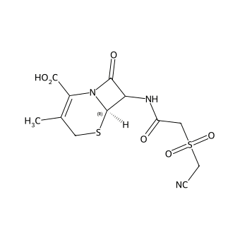 CC1=C(C(=O)O)N2C(=O)C(NC(=O)CS(=O)(=O)CC#N)[C@H]2SC1